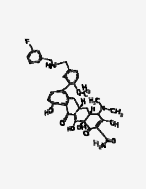 COc1ccc(CNCc2cccc(F)c2)cc1-c1ccc(O)c2c1C[C@@H]1C[C@@H]3C(N(C)C)C(O)=C(C(N)=O)C(=O)[C@]3(O)C(O)=C1C2=O